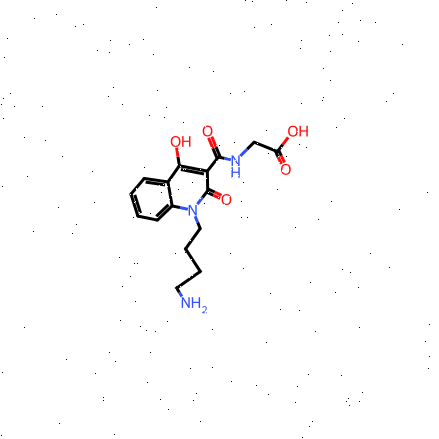 NCCCCn1c(=O)c(C(=O)NCC(=O)O)c(O)c2ccccc21